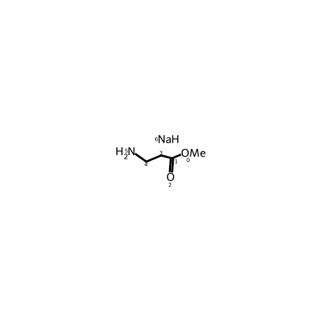 COC(=O)CCN.[NaH]